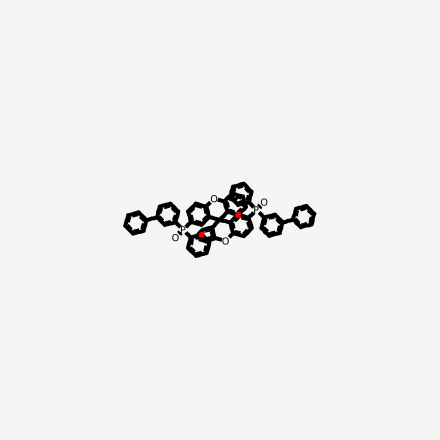 O=P(c1ccccc1)(c1cccc(-c2ccccc2)c1)c1ccc2c(c1)C1(c3ccccc3O2)c2ccccc2Oc2ccc(P(=O)(c3ccccc3)c3cccc(-c4ccccc4)c3)cc21